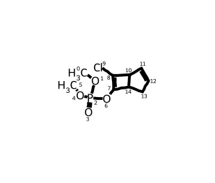 COP(=O)(OC)OC1=C(Cl)C2C=CCC12